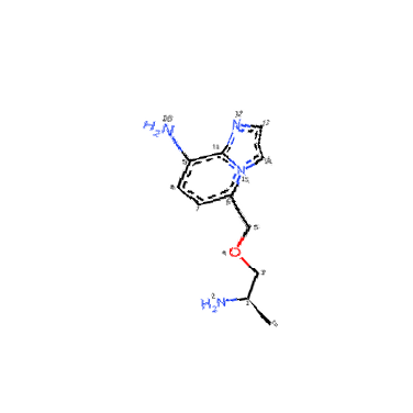 C[C@@H](N)COCc1ccc(N)c2nccn12